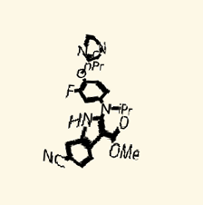 C1CN2CCN1CC2.CCCOc1ccc(N(c2[nH]c3cc(C#N)ccc3c2C(=O)OC)C(C)C)cc1F